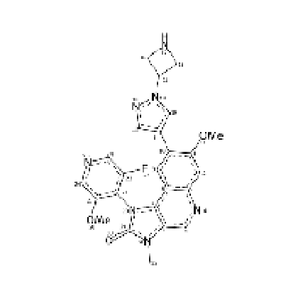 COc1cc2ncc3c(c2cc1-c1cnn(C2CNC2)c1)n(-c1c(F)cncc1OC)c(=O)n3C